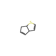 C1=CC2C=CSC2C1